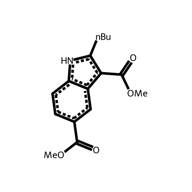 CCCCc1[nH]c2ccc(C(=O)OC)cc2c1C(=O)OC